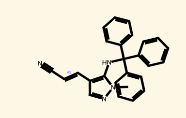 Cn1ncc(/C=C/C#N)c1NC(c1ccccc1)(c1ccccc1)c1ccccc1